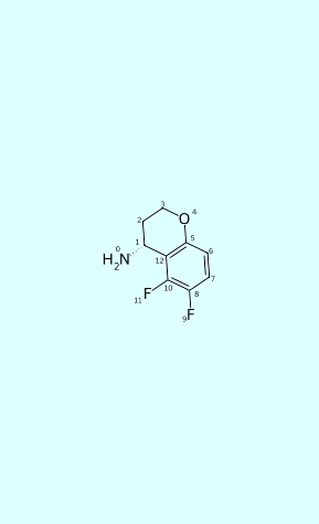 N[C@@H]1CCOc2ccc(F)c(F)c21